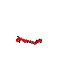 C[C@@H]1CN(c2ncc(-c3ccc4c(n3)N(Cc3cccnc3C#N)C(C)(C)C4=O)cn2)CCN1C(=O)Cn1cc(COCCOCCOCCOCCOc2cccc(Oc3ccc(C(=O)ON4C(=O)CCC4=O)cn3)c2)nn1